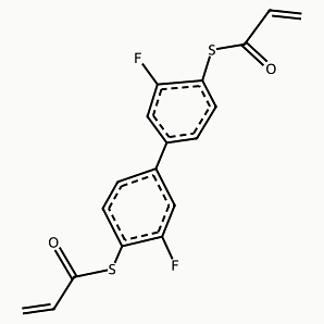 C=CC(=O)Sc1ccc(-c2ccc(SC(=O)C=C)c(F)c2)cc1F